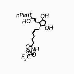 CCCCC[C@H](O)/C=C/[C@@H]1[C@@H](C/C=C\CCCC(=O)NS(=O)(=O)C(F)(F)F)[C@@H](O)C[C@H]1O